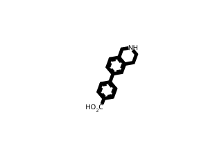 O=C(O)c1ccc(-c2ccc3c(c2)CCNC3)cc1